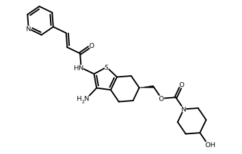 Nc1c(NC(=O)/C=C/c2cccnc2)sc2c1CC[C@H](COC(=O)N1CCC(O)CC1)C2